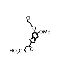 COc1cc2cc(C(=O)C[C@H](C)C(=O)O)sc2cc1OCCCCl